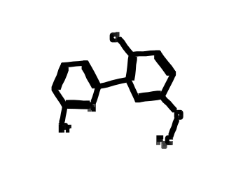 CC(C)c1cccc(-c2cc(OC(F)(F)F)ccc2Cl)n1